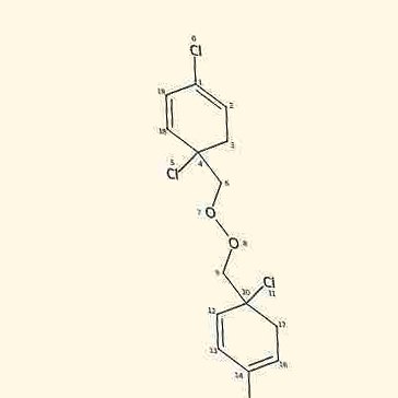 ClC1=CCC(Cl)(COOCC2(Cl)C=CC(Cl)=CC2)C=C1